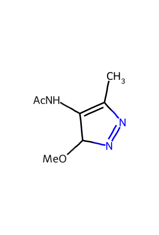 COC1N=NC(C)=C1NC(C)=O